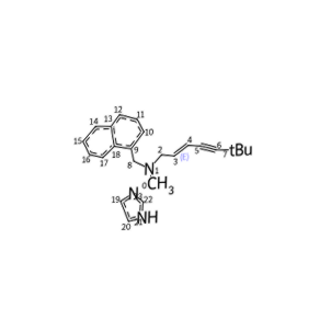 CN(C/C=C/C#CC(C)(C)C)Cc1cccc2ccccc12.c1c[nH]cn1